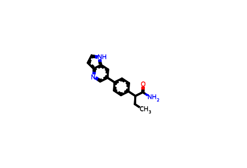 CCC(C(N)=O)c1ccc(-c2cnc3cc[nH]c3c2)cc1